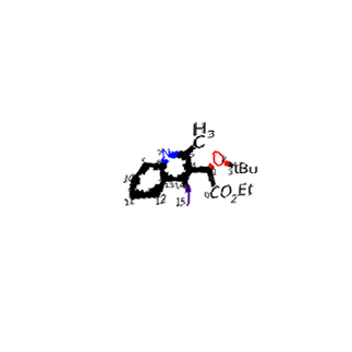 CCOC(=O)C(OC(C)(C)C)c1c(C)nc2ccccc2c1I